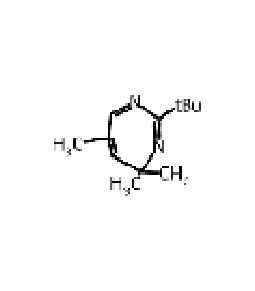 CC1=CC(C)(C)N=C(C(C)(C)C)N=C1